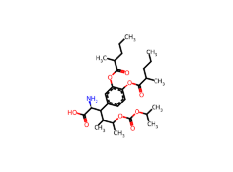 CCCC(C)C(=O)Oc1ccc(C(C(C)C(C)OC(=O)OC(C)C)[C@H](N)C(=O)O)cc1OC(=O)C(C)CCC